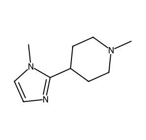 CN1CCC(c2nccn2C)CC1